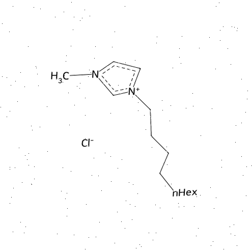 CCCCCCCCCC[n+]1ccn(C)c1.[Cl-]